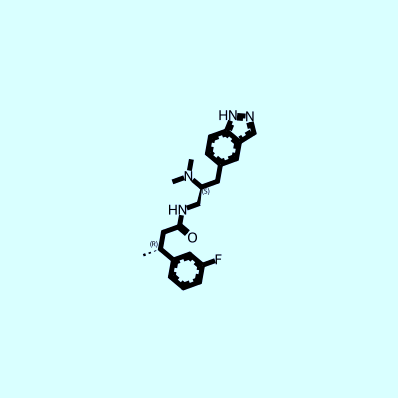 C[C@H](CC(=O)NC[C@H](Cc1ccc2[nH]ncc2c1)N(C)C)c1cccc(F)c1